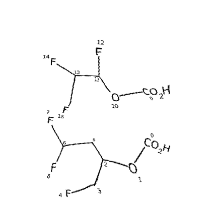 O=C(O)OC(CF)CC(F)F.O=C(O)OC(F)C(F)F